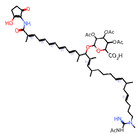 CC(=O)NC(=N)N(C)CCC/C=C/CC(C)/C=C/CCCC(C)/C=C(\C)C(OC1OC(C(=O)O)C(OC(C)=O)C(OC(C)=O)C1OC(C)=O)C(C)/C=C/C=C/C=C/C=C/C=C(\C)C(=O)NC1=C(O)CCC1=O